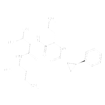 CC(O)[C@H](NC(=O)[C@H](CCN)NC(=O)[C@H]1C[C@@H]1c1ccccc1)C(=O)N[C@@H](C)CCN